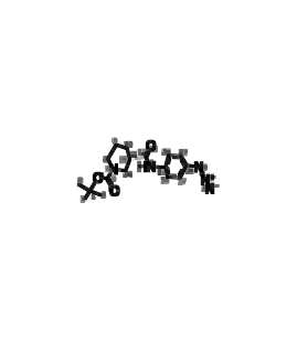 CC(C)(C)OC(=O)N1CCC[C@H](C(=O)Nc2ccc(N=[N+]=[N-])cc2)C1